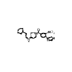 CN(CCc1ccccc1)C1CCN(C(=O)c2ccc(-n3cncn3)c([N+](=O)[O-])c2)CC1